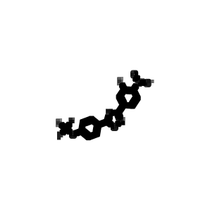 O=[N+]([O-])c1ccc(-c2noc(-c3ccc(OC(F)(F)F)cc3)n2)cc1F